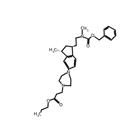 CCCOC(=O)CCN1CCN(c2ccc3c(c2)[C@H](C)C[C@H]3CCN(C)C(=O)OCc2ccccc2)CC1